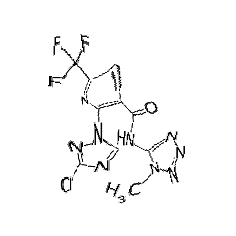 Cn1nnnc1NC(=O)c1ccc(C(F)(F)F)nc1-n1cnc(Cl)n1